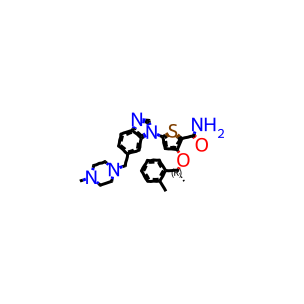 Cc1ccccc1[C@@H](C)Oc1cc(-n2cnc3ccc(CN4CCN(C)CC4)cc32)sc1C(N)=O